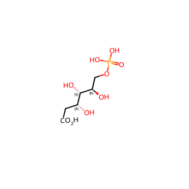 O=C(O)C[C@@H](O)[C@H](O)[C@H](O)COP(=O)(O)O